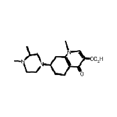 CC1CN(C2CCc3c(n(C)cc(C(=O)O)c3=O)C2)CCN1C